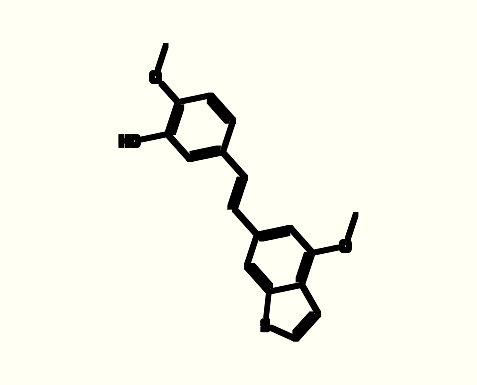 COc1ccc(C=Cc2cc(OC)c3ccsc3c2)cc1O